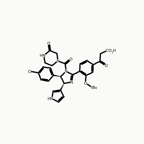 CC(C)(C)Oc1cc(C(=O)CC(=O)O)ccc1C1=N[C@@H](c2cc[nH]c2)[C@@H](c2ccc(Cl)cc2)N1C(=O)N1CCNC(=O)C1